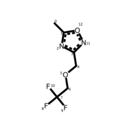 Cc1nc(COCC(F)(F)F)no1